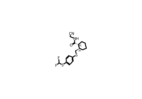 N#CCNC(=O)[C@@H]1CCCC[C@H]1CSc1ccc(SC(F)F)cc1